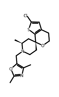 Cc1nc(C)c(CN2CC[C@]3(C[C@@H]2C)OCCc2cc(Cl)sc23)o1